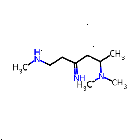 CNCCC(=N)CC(C)N(C)C